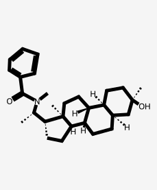 C[C@@H]([C@H]1CC[C@H]2[C@@H]3CC[C@@H]4C[C@](C)(O)CC[C@@H]4[C@H]3CC[C@]12C)N(C)C(=O)c1ccccc1